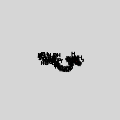 Cc1ncsc1-c1ccc([C@H](CO)NC(=O)[C@@H]2C[C@@H](O)CN2C(=O)[C@@H](c2cc(N3CCC(CN4CCC(O[C@H]5C[C@H](Oc6cc(N7C8CCC7CN(c7cc(-c9ccccc9O)[nH]c7N)C8)ccn6)C5)CC4)CC3)no2)C(C)C)cc1